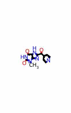 Cn1c(=O)[nH]c(=O)c2[nH]c(C(=O)c3ccncc3)nc21